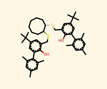 Cc1cc(C)c(-c2cc(C(C)(C)C)cc(CS[C@H]3CCCCCC[C@@H]3SCc3cc(C(C)(C)C)cc(-c4c(C)cc(C)cc4C)c3O)c2O)c(C)c1